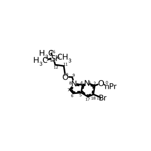 CCCOc1nc2c(ccn2COCC[Si](C)(C)C)cc1Br